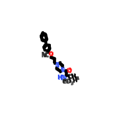 C[C@H](NC(=O)O)C(=O)N1CCN(CCCOC2(C#N)C=CC(c3ccccc3)=CC2)CC1